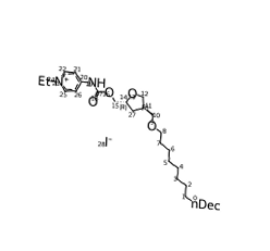 CCCCCCCCCCCCCCCCCCOC[C@@H]1CO[C@@H](COC(=O)Nc2cc[n+](CC)cc2)C1.[I-]